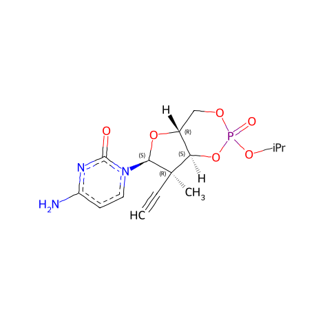 C#C[C@]1(C)[C@@H]2OP(=O)(OC(C)C)OC[C@H]2O[C@@H]1n1ccc(N)nc1=O